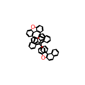 c1ccc(-c2c3ccccc3c(-c3cccc4oc5cccc(-c6c7ccccc7c(-c7ccc8oc9ccc%10ccccc%10c9c8c7)c7ccccc67)c5c34)c3ccccc23)cc1